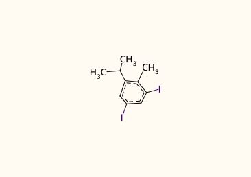 Cc1c(I)cc(I)cc1C(C)C